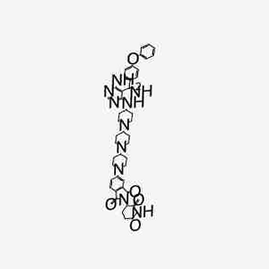 N=C(c1ccc(Oc2ccccc2)cc1)c1c(N)ncnc1NC1CCN(C2CCN(C3CCN(c4ccc5c(c4)C(=O)N(C4CCC(=O)NC4=O)C5=O)CC3)CC2)CC1